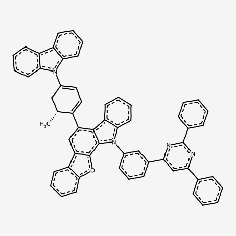 C[C@@H]1CC(n2c3ccccc3c3ccccc32)=CC=C1c1cc2c3ccccc3oc2c2c1c1ccccc1n2-c1cccc(-c2cc(-c3ccccc3)nc(-c3ccccc3)n2)c1